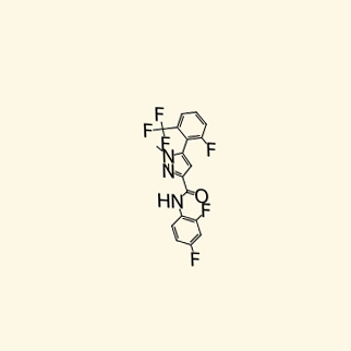 Cn1nc(C(=O)Nc2ccc(F)cc2F)cc1-c1c(F)cccc1C(F)(F)F